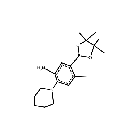 Cc1cc(N2CCCCC2)c(N)cc1B1OC(C)(C)C(C)(C)O1